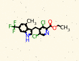 CCOC(=O)c1ncc(Cl)c(Cc2c[nH]c3cc(C(F)(F)F)cc(C)c23)c1Cl